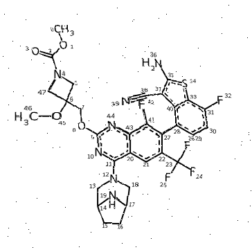 COC(=O)N1CC(COc2nc(N3CC4CCC(C3)N4)c3cc(C(F)(F)F)c(-c4ccc(F)c5sc(N)c(C#N)c45)c(F)c3n2)(OC)C1